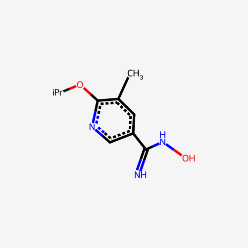 Cc1cc(C(=N)NO)cnc1OC(C)C